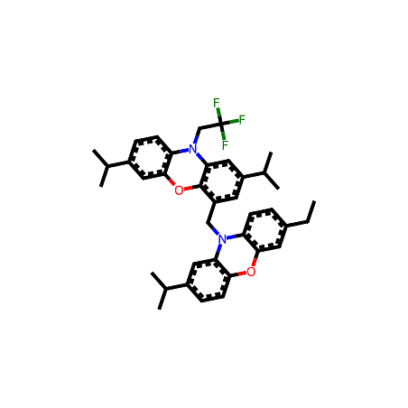 CCc1ccc2c(c1)Oc1ccc(C(C)C)cc1N2Cc1cc(C(C)C)cc2c1Oc1cc(C(C)C)ccc1N2CC(F)(F)F